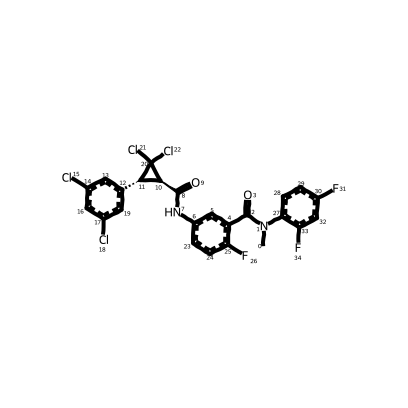 CN(C(=O)c1cc(NC(=O)[C@H]2[C@H](c3cc(Cl)cc(Cl)c3)C2(Cl)Cl)ccc1F)c1ccc(F)cc1F